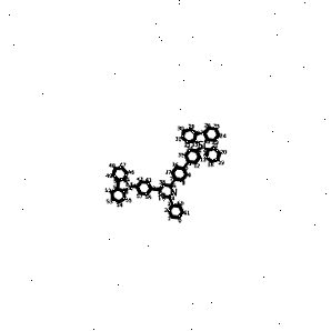 c1ccc(-c2nc(-c3ccc(-c4ccc([Si]5(c6ccccc6)c6ccccc6-c6ccccc65)cc4)cc3)cc(-c3ccc(-n4c5ccccc5c5ccccc54)cc3)n2)cc1